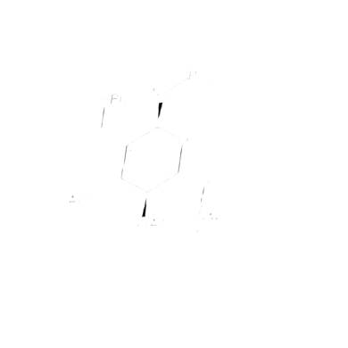 CCCCO[C@@H]1[C@@H](OP)O[C@H](COC(C)=O)[C@@H](OC(C)=O)[C@@H]1OC(C)=O